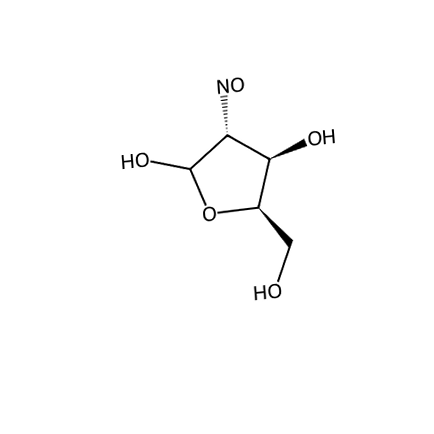 O=N[C@H]1C(O)O[C@H](CO)[C@@H]1O